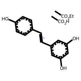 CC(=O)O.CCOC(C)=O.Oc1ccc(/C=C/c2cc(O)cc(O)c2)cc1